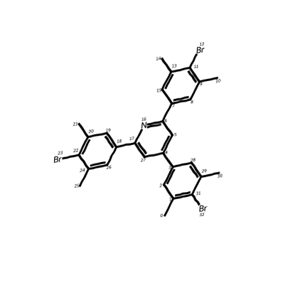 Cc1cc(-c2cc(-c3cc(C)c(Br)c(C)c3)nc(-c3cc(C)c(Br)c(C)c3)c2)cc(C)c1Br